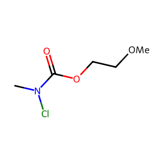 COCCOC(=O)N(C)Cl